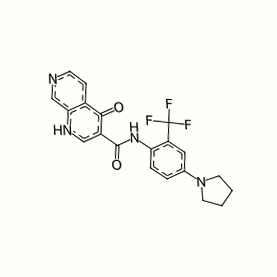 O=C(Nc1ccc(N2CCCC2)cc1C(F)(F)F)c1c[nH]c2cnccc2c1=O